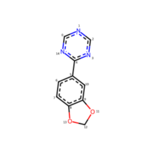 c1ncnc(-c2ccc3c(c2)OCO3)n1